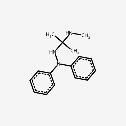 CNC(C)(C)NN(c1ccccc1)c1ccccc1